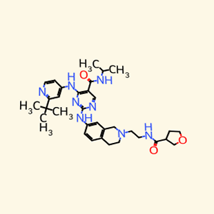 CC(C)NC(=O)c1cnc(Nc2ccc3c(c2)CN(CCNC(=O)C2CCOC2)CC3)nc1Nc1ccnc(C(C)(C)C)c1